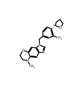 Cc1cc(Cn2cnc3cc4c(cc32)OCCN4C)ccc1[C@@H]1CCCO1